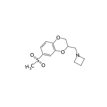 CS(=O)(=O)c1ccc2c(c1)OC(CN1CCC1)CO2